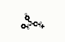 CC(C)(C)OC(=O)N1CCC(N(CCc2ccc(Cl)cc2)COC(=O)c2ccccc2)CC1